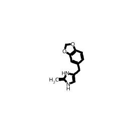 C=C1NC=C(Cc2ccc3c(c2)OCO3)N1